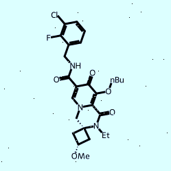 CCCCOc1c2n(cc(C(=O)NCc3cccc(Cl)c3F)c1=O)C[C@]1(C[C@@H](OC)C1)N(CC)C2=O